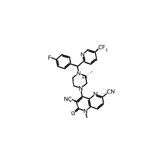 C[C@@H]1CN(c2c(C#N)c(=O)n(C)c3ccc(C#N)nc23)CCN1C(c1ccc(F)cc1)c1ccc(C(F)(F)F)cn1